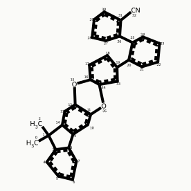 CC1(C)c2ccccc2-c2cc3c(cc21)Oc1ccc(-c2ccccc2-c2ccccc2C#N)cc1O3